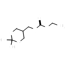 [CH2]COC(=O)OCC1COC(C)(C)OC1